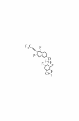 Cc1cc(F)c(C(F)(F)Oc2ccc3c(F)c(C#CC(F)(F)F)c(F)cc3c2)c(F)c1F